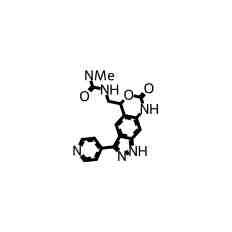 CNC(=O)NCC1OC(=O)Nc2cc3[nH]nc(-c4ccncc4)c3cc21